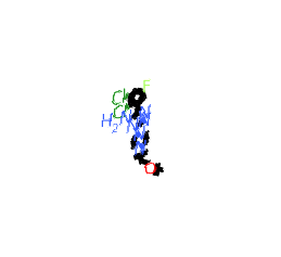 CC(C)(C)OCCC(C)(C)N1CCN(c2nnc(-c3cc(F)cc(Cl)c3Cl)c(N)n2)CC1